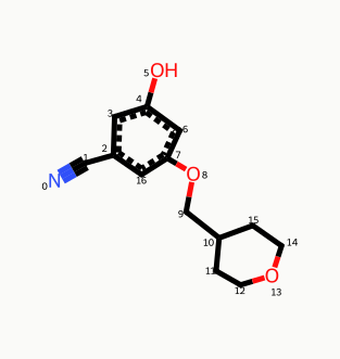 N#Cc1cc(O)cc(OCC2CCOCC2)c1